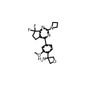 COc1cc(-c2nc(N3CCC3)nc3c2CCC3(F)F)ccc1C1(N)COC1